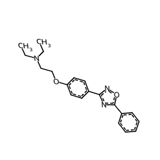 CCN(CC)CCOc1ccc(-c2noc(-c3ccccc3)n2)cc1